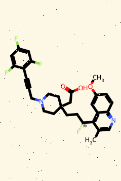 COc1ccc2ncc(C)c([C@H](F)CCC3(CC(=O)O)CCN(CC#Cc4c(F)cc(F)cc4F)CC3)c2c1